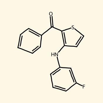 O=C(c1ccccc1)c1sccc1Nc1cccc(F)c1